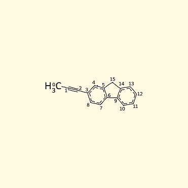 CC#Cc1[c]c2c(cc1)-c1ccccc1C2